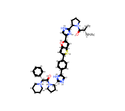 CC(=O)N[C@H](C(=O)N1CCCC1c1nc(-c2cc3sc(-c4ccc(-c5cnc([C@@H]6CCCN6C(=O)[C@@H](c6ccccc6)N6CCCCC6)[nH]5)cc4)cc3o2)c[nH]1)C(C)C